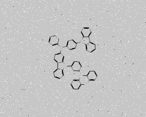 C1=CCCC(N(c2ccc(-n3c4ccccc4c4ccccc43)cc2)c2ccc3c4ccccc4n(C4=CC=CC(N5c6ccccc6Oc6ccccc65)C4)c3c2)=C1